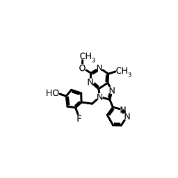 COc1nc(C)c2nc(-c3cccnn3)n(Cc3ccc(O)cc3F)c2n1